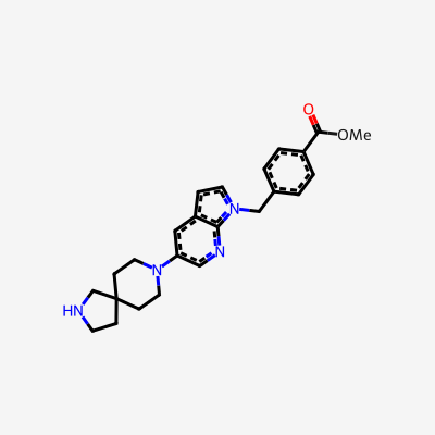 COC(=O)c1ccc(Cn2ccc3cc(N4CCC5(CCNC5)CC4)cnc32)cc1